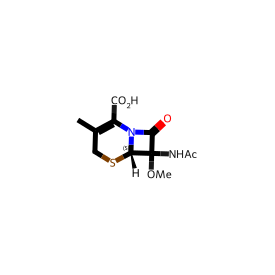 COC1(NC(C)=O)C(=O)N2C(C(=O)O)=C(C)CS[C@H]21